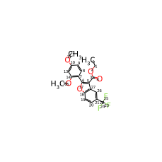 CCOC(=O)c1c(-c2ccc(OC)cc2OC)oc2ccc(C(F)(F)F)cc12